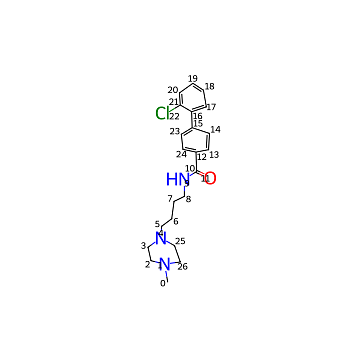 CN1CCN(CCCCNC(=O)c2ccc(-c3ccccc3Cl)cc2)CC1